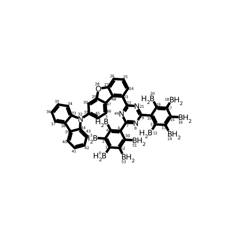 Bc1c(B)c(B)c(-c2nc(-c3c(B)c(B)c(B)c(B)c3B)nc(-c3cccc4oc5cc(-n6c7ccccc7c7ccccc76)ccc5c34)n2)c(B)c1B